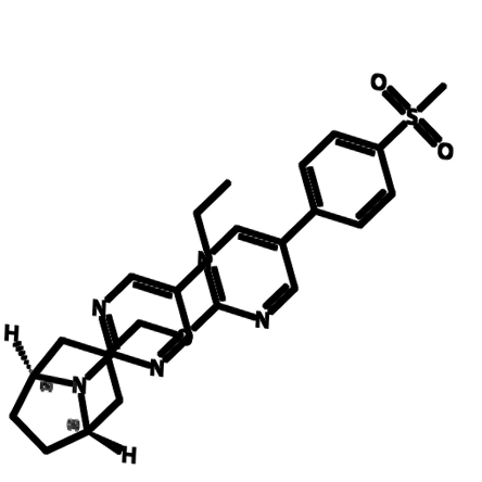 CCCc1cnc(N2[C@H]3CC[C@H]2CC(COc2ncc(-c4ccc(S(C)(=O)=O)cc4)cn2)C3)nc1